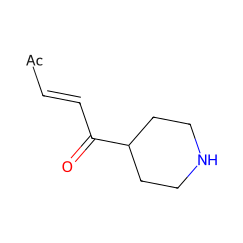 CC(=O)C=CC(=O)C1CCNCC1